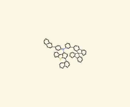 c1cc(-c2ccc3c(c2)C2(c4ccccc4-c4ccccc42)c2ccccc2-3)cc(N(c2ccc(-c3ccc4ccccc4c3)cc2)c2ccc(-c3cccc4ccccc34)c3sc4ccccc4c23)c1